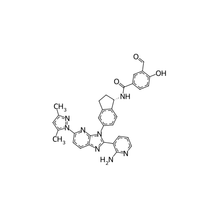 Cc1cc(C)n(-c2ccc3nc(-c4cccnc4N)n(-c4ccc5c(c4)CC[C@@H]5NC(=O)c4ccc(O)c(C=O)c4)c3n2)n1